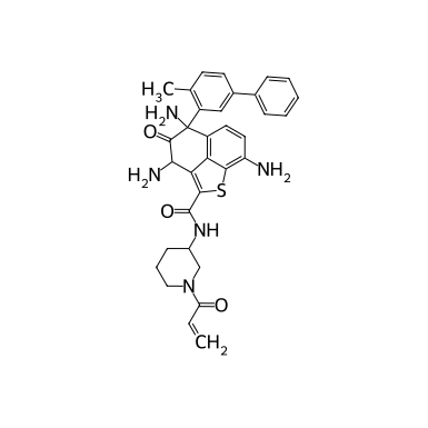 C=CC(=O)N1CCCC(NC(=O)c2sc3c(N)ccc4c3c2C(N)C(=O)C4(N)c2cc(-c3ccccc3)ccc2C)C1